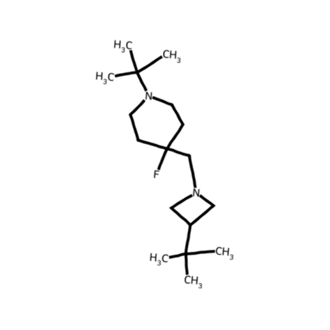 CC(C)(C)C1CN(CC2(F)CCN(C(C)(C)C)CC2)C1